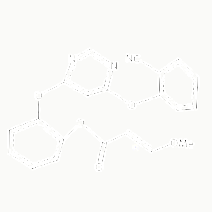 CO/C=C/C(=O)Oc1ccccc1Oc1cc(Oc2ccccc2C#N)ncn1